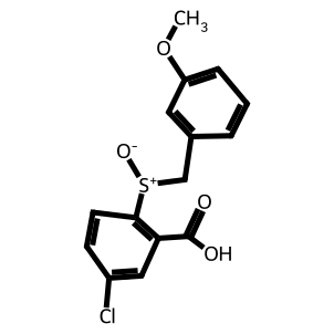 COc1cccc(C[S+]([O-])c2ccc(Cl)cc2C(=O)O)c1